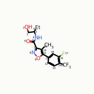 CCC(CO)NC(=O)c1noc(-c2ccc(C(F)(F)F)c(F)c2)c1C